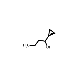 CCCC(O)C1=CC1